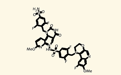 COc1ccc2c3c(c[n+](NS(=O)(=O)c4cc(F)c(CN5CCOc6cnc7cc(OC)c(F)cc7c65)c(F)c4)c2n1)c(=O)[nH]c(=O)n3Cc1c(F)cc(S(N)(=O)=O)cc1F